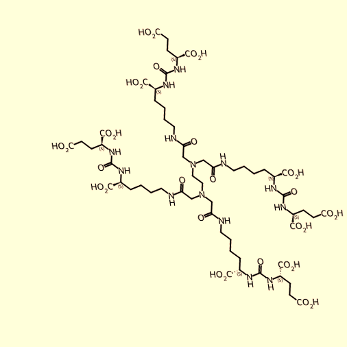 O=C(O)CC[C@H](NC(=O)N[C@@H](CCCCNC(=O)CN(CCN(CC(=O)NCCCC[C@H](NC(=O)N[C@@H](CCC(=O)O)C(=O)O)C(=O)O)CC(=O)NCCCC[C@H](NC(=O)N[C@@H](CCC(=O)O)C(=O)O)C(=O)O)CC(=O)NCCCC[C@H](NC(=O)N[C@@H](CCC(=O)O)C(=O)O)C(=O)O)C(=O)O)C(=O)O